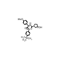 COc1ccc([C@@H](NC(=O)N2CC[C@@H](O)C2)C(=O)Nc2ccc(S(C)(C)C)cc2)cc1